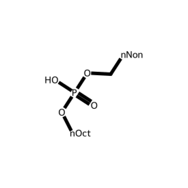 CCCCCCCCCCOP(=O)(O)OCCCCCCCC